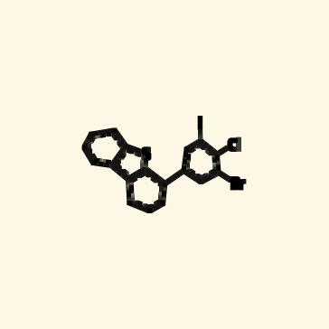 Clc1c(Br)cc(-c2cccc3c2sc2ccccc23)cc1I